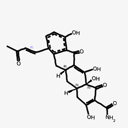 CC(=O)/C=C/c1ccc(O)c2c1C[C@H]1C[C@H]3CC(O)=C(C(N)=O)C(=O)[C@@]3(O)C(O)=C1C2=O